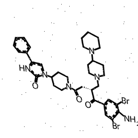 Nc1c(Br)cc(C(=O)[C@H](CC(=O)N2CCC(n3cc(-c4ccccc4)[nH]c3=O)CC2)CN2CCC(N3CCCCC3)CC2)cc1Br